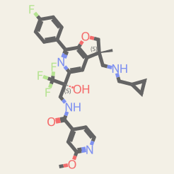 COc1cc(C(=O)NC[C@](O)(c2cc3c(c(-c4ccc(F)cc4)n2)OC[C@]3(C)CNCC2CC2)C(F)(F)F)ccn1